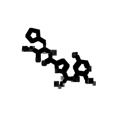 CNC(=O)[C@H](CC1CCCC1)NC(=O)c1ccc([C@H](C)Nc2cc(Cl)cnc2C)s1